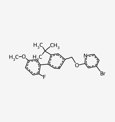 COc1ccc(F)c(-c2ccc(COc3cc(Br)ccn3)cc2C(C)(C)C)c1